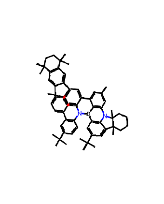 Cc1cc2c3c(c1)N1c4c(cc(C(C)(C)C)cc4C4(C)CCCCC14C)B3N(c1ccc(C(C)(C)C)cc1-c1ccccc1)c1cc3c(cc1-2)-c1cc2c(cc1C3(C)C)C(C)(C)CCC2(C)C